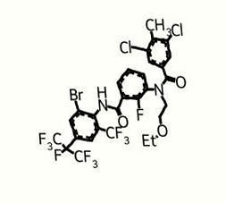 CCOCCN(C(=O)c1cc(Cl)c(C)c(Cl)c1)c1cccc(C(=O)Nc2c(Br)cc(C(F)(C(F)(F)F)C(F)(F)F)cc2C(F)(F)F)c1F